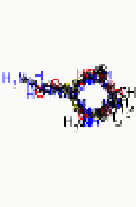 CNC(=O)C[C@@H]1NC(=O)c2csc(n2)-c2ccc(-c3nc(NC(=O)[C@H]4CC[C@H](C(=O)NCCNCCN)CC4)cs3)nc2-c2csc(n2)-c2csc(n2)[C@H]([C@@H](O)c2ccccc2)NC(=O)CNC(=O)c2nc(sc2COC)[C@H](C(C)C)NC(=O)c2nc1sc2C